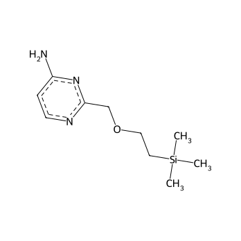 C[Si](C)(C)CCOCc1nccc(N)n1